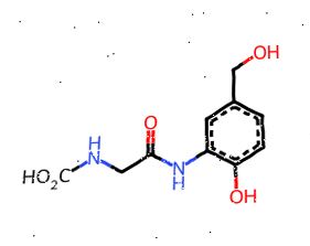 O=C(O)NCC(=O)Nc1cc(CO)ccc1O